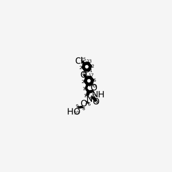 O=c1[nH]c(=O)n(COCCO)cc1Cc1cccc(Oc2cccc(Cl)c2)c1